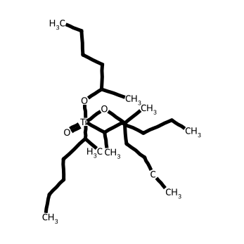 CCCCC(C)[O][Ti](=[O])([O]C(C)CCCC)([CH](C)CCCC)[CH](C)CCCC